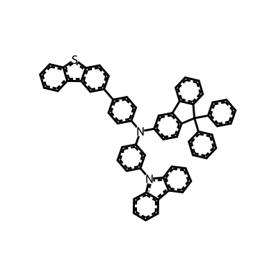 c1ccc(C2(c3ccccc3)c3ccccc3-c3cc(N(c4ccc(-c5ccc6sc7ccccc7c6c5)cc4)c4cccc(-n5c6ccccc6c6ccccc65)c4)ccc32)cc1